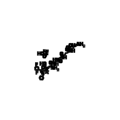 CC(C)(C)[C@H](c1cc(-c2cc(F)ccc2F)cn1Cc1ccccc1)N(CC[C@H](N)C(=O)NCCNC(=O)CNC(=O)CCCC(=O)N[C@@H](CCCCN)C(=O)O)C(=O)CO.O=C(O)C(F)(F)F